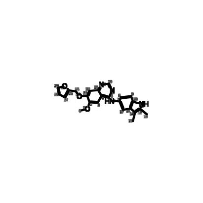 COc1cc2c(Nc3ccc4[nH]c(C)c(C)c4c3)ncnc2cc1OCc1ccco1